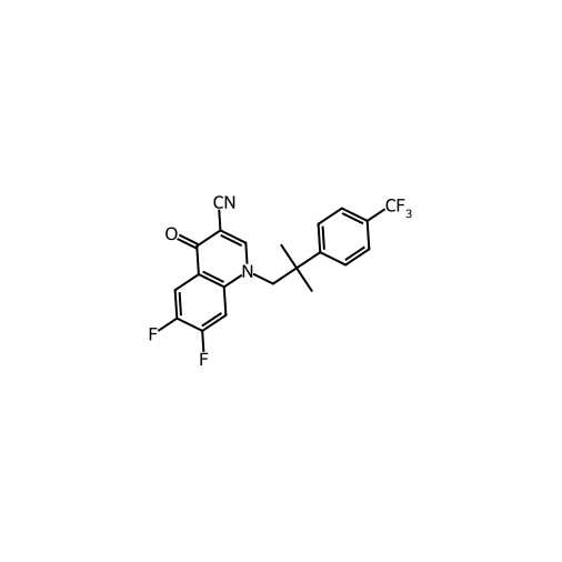 CC(C)(Cn1cc(C#N)c(=O)c2cc(F)c(F)cc21)c1ccc(C(F)(F)F)cc1